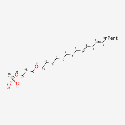 CCCCCC=CCC=CCCCCCCCCOCCCOS(C)(=O)=O